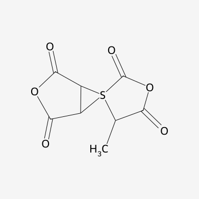 CC1C(=O)OC(=O)S12C1C(=O)OC(=O)C12